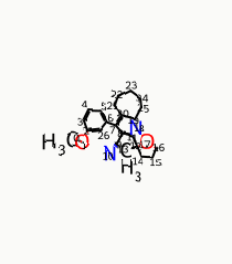 COc1cccc(-c2c(C#N)c(C3(C)CCCO3)nc3c2CCCCC3)c1